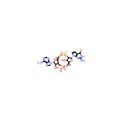 Nc1nc2c(ccn2[C@@H]2O[C@@H]3COP(=O)(O)CC4C(O)[C@H](n5cnc6c(N)ncnc65)O[C@@H]4COP(=O)(S)OC2C3O)c(=O)[nH]1